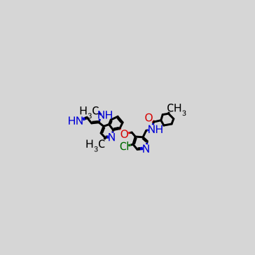 CN/C(=C\C=N)c1cc(C)nc2c(OCc3c(Cl)cncc3CNC(=O)C3CCCC(C)C3)cccc12